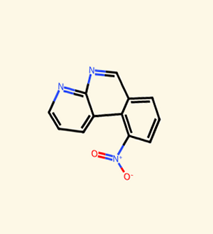 O=[N+]([O-])c1cccc2cnc3ncccc3c12